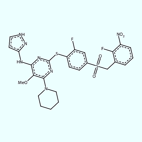 COc1c(Nc2cc[nH]n2)nc(Sc2ccc(S(=O)(=O)Cc3cccc([N+](=O)[O-])c3F)cc2F)nc1N1CCCCC1